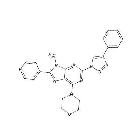 Cn1c(-c2ccncc2)nc2c(N3CCOCC3)nc(-n3cc(-c4ccccc4)nn3)nc21